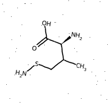 CC(CSN)[C@H](N)C(=O)O